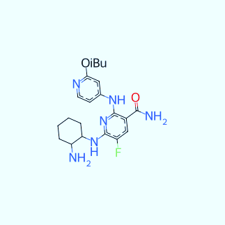 CC(C)COc1cc(Nc2nc(NC3CCCCC3N)c(F)cc2C(N)=O)ccn1